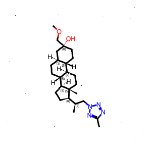 COC[C@@]1(O)CC[C@H]2[C@@H](CC[C@@H]3[C@@H]2CC[C@]2(C)[C@@H]([C@H](C)Cn4nnc(C)n4)CC[C@@H]32)C1